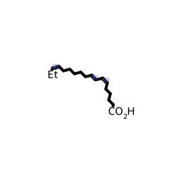 CC/C=C\CCCCC/C=C/C=C\CCCCC(=O)O